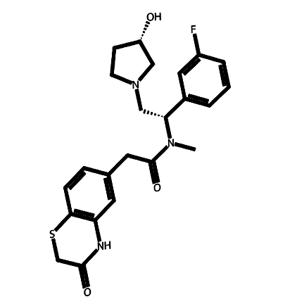 CN(C(=O)Cc1ccc2c(c1)NC(=O)CS2)[C@H](CN1CC[C@H](O)C1)c1cccc(F)c1